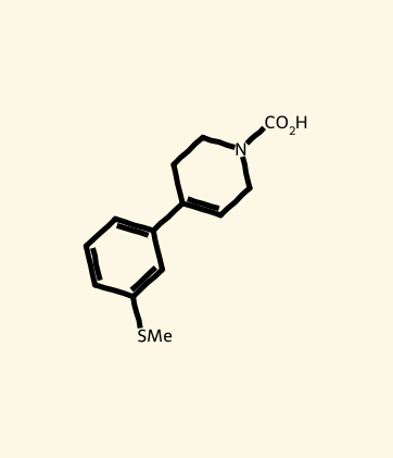 CSc1cccc(C2=CCN(C(=O)O)CC2)c1